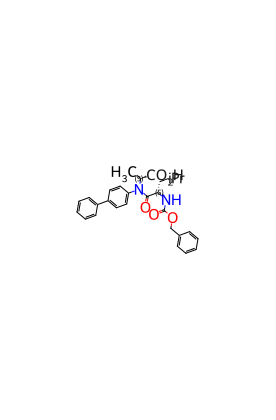 CC(C)C[C@H](NC(=O)OCc1ccccc1)C(=O)N(c1ccc(-c2ccccc2)cc1)[C@@H](C)C(=O)O